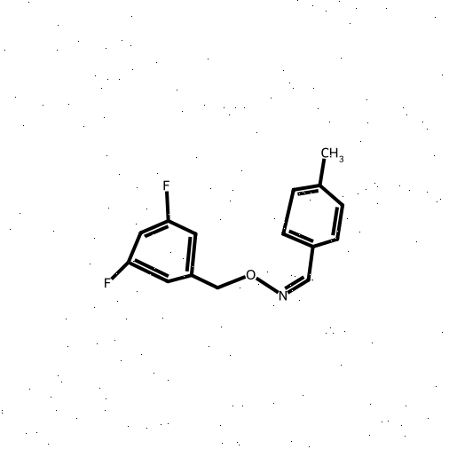 Cc1ccc(/[C]=N\OCc2cc(F)cc(F)c2)cc1